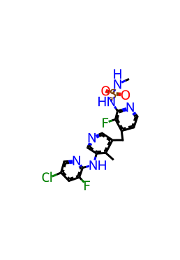 CNS(=O)(=O)Nc1nccc(Cc2cncc(Nc3ncc(Cl)cc3F)c2C)c1F